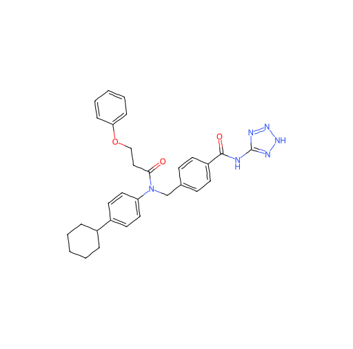 O=C(Nc1nn[nH]n1)c1ccc(CN(C(=O)CCOc2ccccc2)c2ccc(C3CCCCC3)cc2)cc1